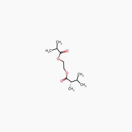 CC(C)C(=O)OCCOC(=O)[C@@H](C)C(C)C